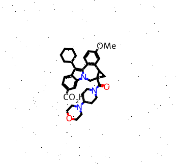 COc1ccc2c(c1)C1CC1(C(=O)N1CCC(N3CCOCC3)CC1)Cn1c-2c(C2CCCCC2)c2ccc(C(=O)O)cc21